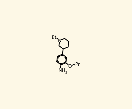 CCN1CCCC(c2ccc(N)c(OC(C)C)c2)C1